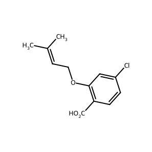 CC(C)=CCOc1cc(Cl)ccc1C(=O)O